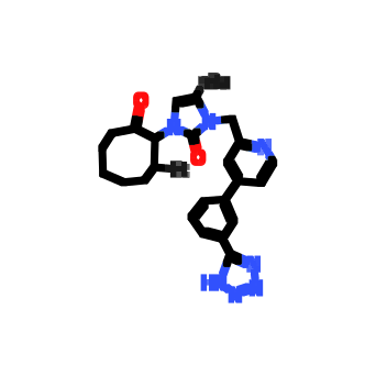 CCCCc1cn(C2C(=O)CCCCCC2CC)c(=O)n1Cc1cc(-c2cccc(-c3nnn[nH]3)c2)ccn1